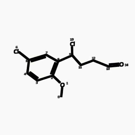 COc1ccc(Cl)cc1C(Cl)CCC=O